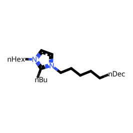 CCCCCCCCCCCCCCCn1cc[n+](CCCCCC)c1CCCC